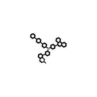 CC1C=Cc2cccc(-c3cccc(N(c4ccc(-c5ccc(-c6ccccc6)cc5)cc4)c4ccc(-c5cc6ccccc6c6ccccc56)cc4)c3)c2C1